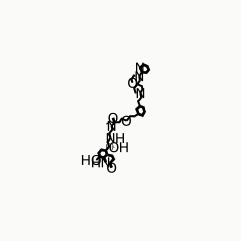 CN(CCNC[C@H](O)c1ccc(O)c2[nH]c(=O)ccc12)C(=O)CCOCCc1cccc(CCN2CCC3(CC2)CN(c2ccccn2)CCO3)c1